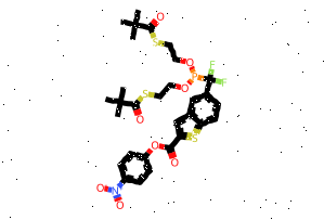 CC(C)(C)C(=O)SCCOP(OCCSC(=O)C(C)(C)C)C(F)(F)c1ccc2sc(C(=O)Oc3ccc([N+](=O)[O-])cc3)cc2c1